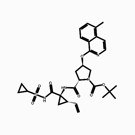 C=C[C@@H]1C[C@]1(NC(=O)[C@@H]1C[C@@H](Oc2nccc3c(C)cccc23)CN1C(=O)OC(C)(C)C)C(=O)NS(=O)(=O)C1CC1